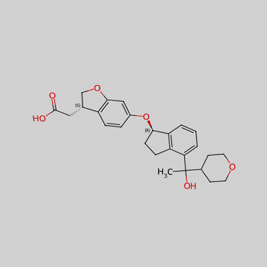 CC(O)(c1cccc2c1CC[C@H]2Oc1ccc2c(c1)OC[C@H]2CC(=O)O)C1CCOCC1